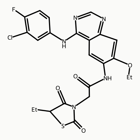 CCOc1cc2ncnc(Nc3ccc(F)c(Cl)c3)c2cc1NC(=O)CN1C(=O)SC(CC)C1=O